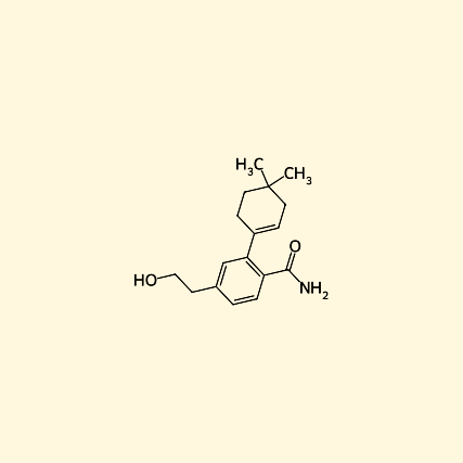 CC1(C)CC=C(c2cc(CCO)ccc2C(N)=O)CC1